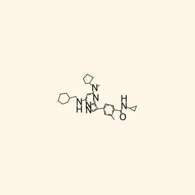 Cc1cc(-c2cnn3c(NCC4CCCCC4)cc(N(C)C4CCCC4)nc23)ccc1C(=O)NC1CC1